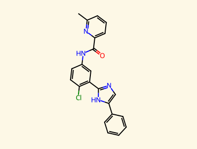 Cc1cccc(C(=O)Nc2ccc(Cl)c(-c3ncc(-c4ccccc4)[nH]3)c2)n1